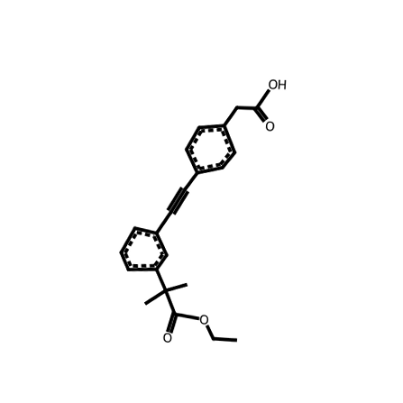 CCOC(=O)C(C)(C)c1cccc(C#Cc2ccc(CC(=O)O)cc2)c1